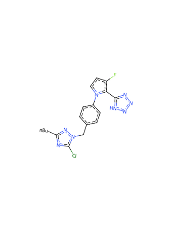 CCCCc1nc(Cl)n(Cc2ccc(-n3ccc(F)c3-c3nnn[nH]3)cc2)n1